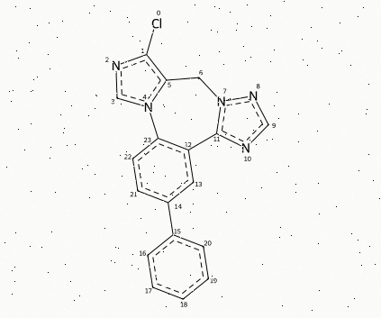 Clc1ncn2c1Cn1ncnc1-c1cc(-c3ccccc3)ccc1-2